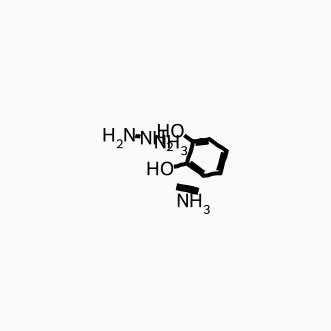 C=C.N.N.NN.Oc1ccccc1O